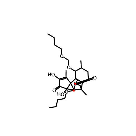 CCCCOCOC1C(C)CCC2(OCOCCCC)C3(C)CC(=O)OC12C12C(C)=C(O)C(=O)C1(O)C32